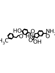 Cc1cccc(CCOc2cc(C(=O)NC3(C(=O)O)Cc4ccc(C(N)=O)cc4C3)ccc2O)c1